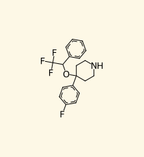 Fc1ccc(C2(OC(c3ccccc3)C(F)(F)F)CCNCC2)cc1